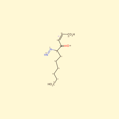 N=NC(CCCCCC(=O)O)C(=O)/C=C\C(=O)O